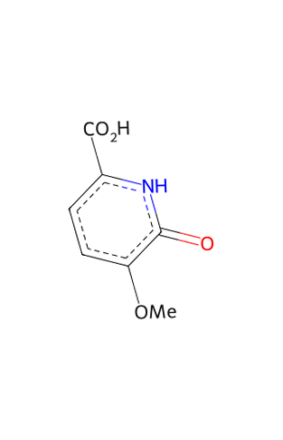 COc1ccc(C(=O)O)[nH]c1=O